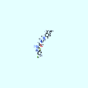 COc1cccc(N2CCN(CC(=O)Nc3nc4cc(F)ccc4s3)CC2)c1